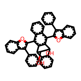 OC1C2c3ccccc3C(c3c2c(-c2oc4ccccc4c2-c2ccccc2)c2ccccc2c3-c2oc3ccccc3c2-c2ccccc2)C1O